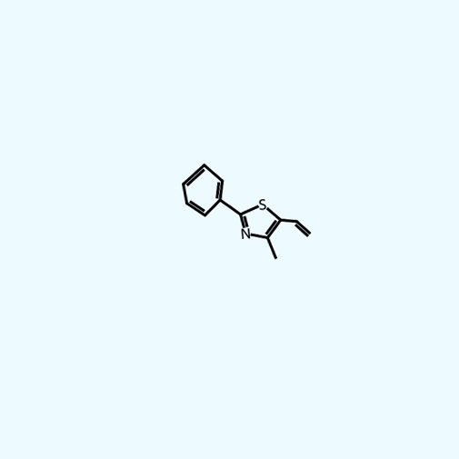 C=Cc1sc(-c2ccccc2)nc1C